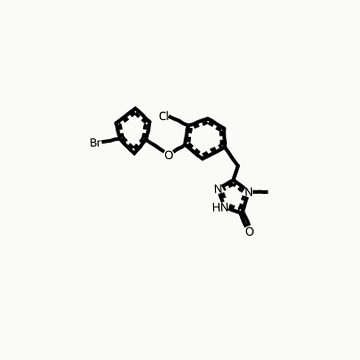 Cn1c(Cc2ccc(Cl)c(Oc3cccc(Br)c3)c2)n[nH]c1=O